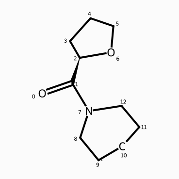 O=C([C@H]1CCCO1)N1C[CH]CCC1